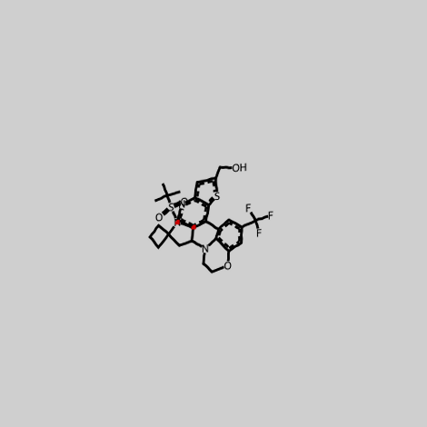 CC(C)(C)S(=O)(=O)N1CC(N2CCOc3cc(C(F)(F)F)cc(-c4ccnc5cc(CO)sc45)c32)CC12CCC2